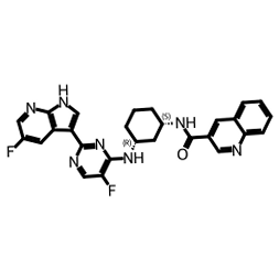 O=C(N[C@H]1CCC[C@@H](Nc2nc(-c3c[nH]c4ncc(F)cc34)ncc2F)C1)c1cnc2ccccc2c1